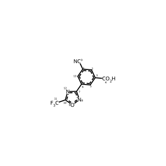 N#Cc1cc(C(=O)O)cc(-c2noc(C(F)(F)F)n2)c1